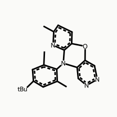 Cc1ccc2c(n1)N(c1c(C)cc(C(C)(C)C)cc1C)c1cnncc1O2